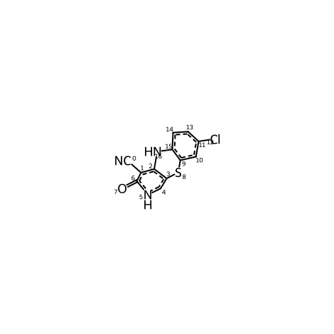 N#Cc1c2c(c[nH]c1=O)Sc1cc(Cl)ccc1N2